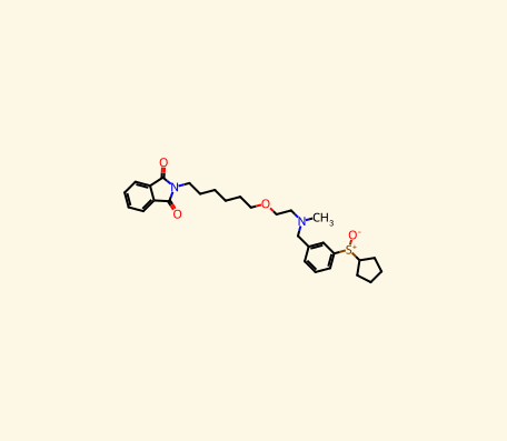 CN(CCOCCCCCCN1C(=O)c2ccccc2C1=O)Cc1cccc([S+]([O-])C2CCCC2)c1